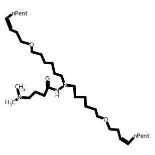 CCCCC/C=C\CCOCCCCCCN(CCCCCCOCC/C=C\CCCCC)NC(=O)CCCN(C)C